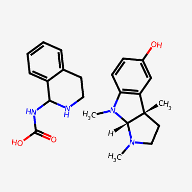 CN1CC[C@@]2(C)c3cc(O)ccc3N(C)[C@@H]12.O=C(O)NC1NCCc2ccccc21